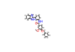 COc1cc(C(=O)Nc2cccc(-c3nc4ccccc4[nH]3)c2)ccc1OCc1ccccc1